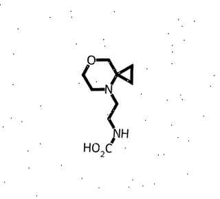 O=C(O)NCCN1CCOCC12CC2